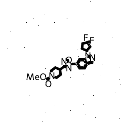 COC(=O)N1CCC(c2noc(-c3ccc4cnn(C5CCC(F)(F)C5)c4c3)n2)CC1